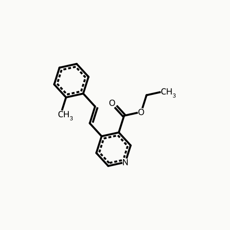 CCOC(=O)c1cnccc1C=Cc1ccccc1C